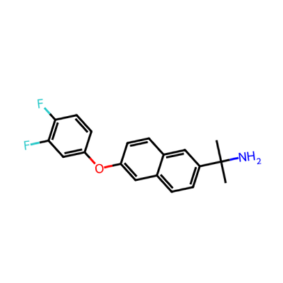 CC(C)(N)c1ccc2cc(Oc3ccc(F)c(F)c3)ccc2c1